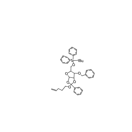 C=CCCCOC1(c2ccccc2)OC2OC(CO[Si](c3ccccc3)(c3ccccc3)C(C)(C)C)C(OCc3ccccc3)C2O1